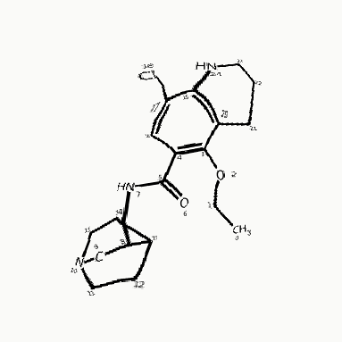 CCOc1c(C(=O)NC2CN3CCC2CC3)cc(Cl)c2c1CCCN2